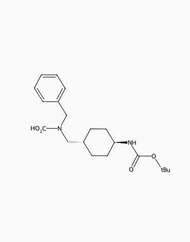 CC(C)(C)OC(=O)N[C@H]1CC[C@H](CN(Cc2ccccc2)C(=O)O)CC1